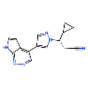 N#CC[C@@H](C1CC1)n1cc(-c2cnnc3[nH]ccc23)cn1